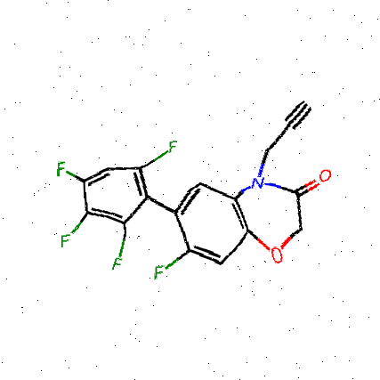 C#CCN1C(=O)COc2cc(F)c(-c3c(F)cc(F)c(F)c3F)cc21